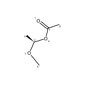 CO[C@@H](C)OC(C)=O